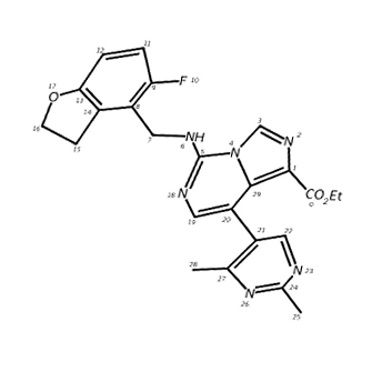 CCOC(=O)c1ncn2c(NCc3c(F)ccc4c3CCO4)ncc(-c3cnc(C)nc3C)c12